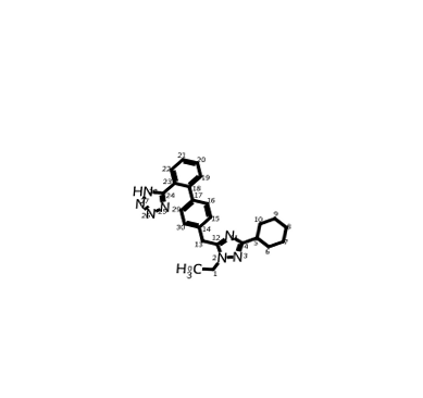 CCn1nc(C2CCCCC2)nc1Cc1ccc(-c2ccccc2-c2nnn[nH]2)cc1